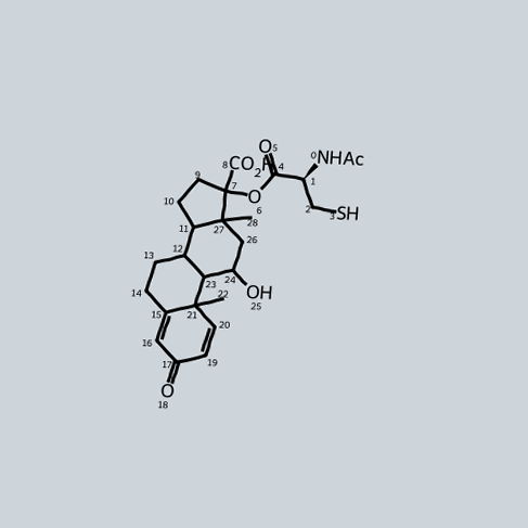 CC(=O)N[C@@H](CS)C(=O)OC1(C(=O)O)CCC2C3CCC4=CC(=O)C=CC4(C)C3C(O)CC21C